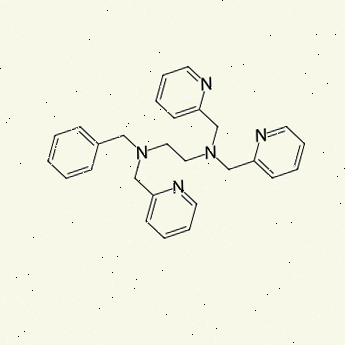 c1ccc(CN(CCN(Cc2ccccn2)Cc2ccccn2)Cc2ccccn2)cc1